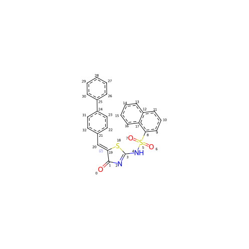 O=C1N=C(NS(=O)(=O)c2cccc3ccccc23)S/C1=C\c1ccc(-c2ccccc2)cc1